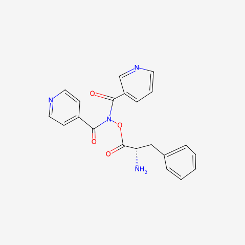 N[C@@H](Cc1ccccc1)C(=O)ON(C(=O)c1ccncc1)C(=O)c1cccnc1